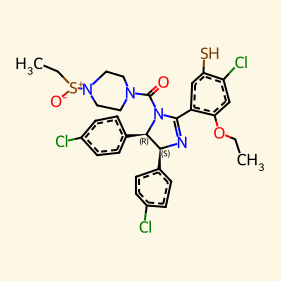 CCOc1cc(Cl)c(S)cc1C1=N[C@@H](c2ccc(Cl)cc2)[C@@H](c2ccc(Cl)cc2)N1C(=O)N1CCN([S+]([O-])CC)CC1